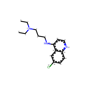 CCN(CC)CCCNc1ccnc2ccc(Cl)cc12